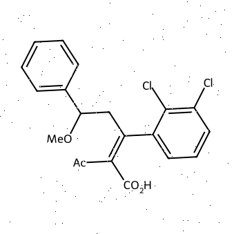 COC(CC(=C(C(C)=O)C(=O)O)c1cccc(Cl)c1Cl)c1ccccc1